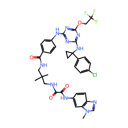 Cn1cnc2ccc(NC(=O)C(=O)NCC(C)(C)CNC(=O)c3ccc(Nc4nc(NC5(c6ccc(Cl)cc6)CC5)nc(OCC(F)(F)F)n4)cc3)cc21